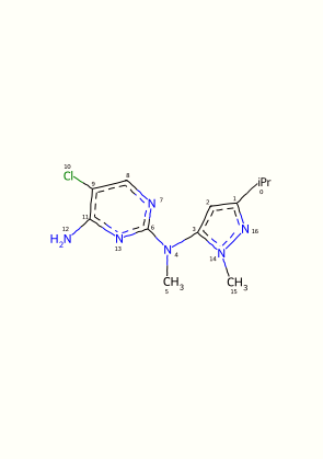 CC(C)c1cc(N(C)c2ncc(Cl)c(N)n2)n(C)n1